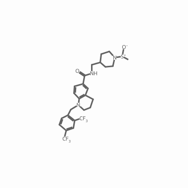 C[S+]([O-])N1CCC(CNC(=O)c2ccc3c(c2)CCCN3Cc2ccc(C(F)(F)F)cc2C(F)(F)F)CC1